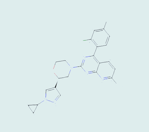 Cc1ccc(-c2nc(N3CCO[C@H](c4cnn(C5CC5)c4)C3)nc3nc(C)ccc23)c(F)c1